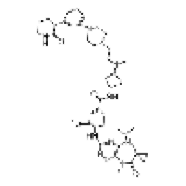 COc1cc(C(=O)NC2CC(N(C)CCC3CCN(c4cccc(C5CCCNC5=O)c4)CC3)C2)ccc1Nc1ncc2c(n1)N(C(C)C)CC1(CC1)C(=O)N2C